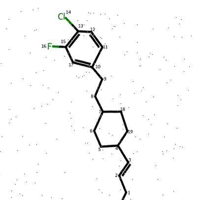 COC/C=C/C1CCC(CCc2ccc(Cl)c(F)c2)CC1